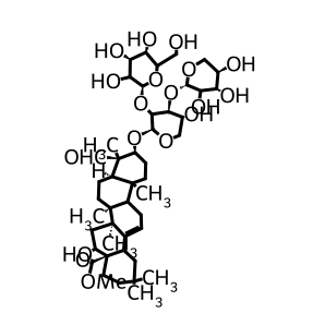 COC(=O)[C@]12CCC(C)(C)CC1C1=CCC3C4(C)CC[C@H](O[C@@H]5OC[C@@H](O)[C@H](O[C@@H]6OC[C@@H](O)[C@H](O)C6O)C5O[C@@H]5OC(CO)[C@H](O)[C@H](O)C5O)[C@](C)(C=O)[C@@H]4CC[C@]3(C)[C@]1(C)CC2O